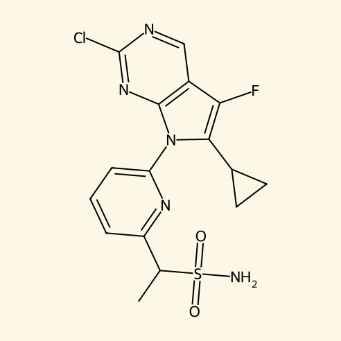 CC(c1cccc(-n2c(C3CC3)c(F)c3cnc(Cl)nc32)n1)S(N)(=O)=O